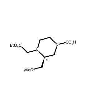 CCOC(=O)CN1CCN(C(=O)O)C[C@H]1COC